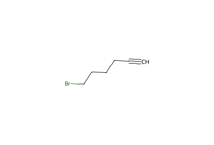 C#CCCCCBr